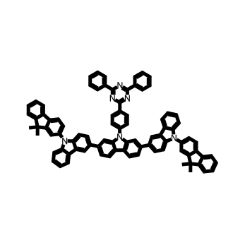 CC1(C)c2ccccc2-c2ccc(-n3c4ccccc4c4cc(-c5ccc6c7ccc(-c8ccc9c(c8)c8ccccc8n9-c8ccc9c(c8)C(C)(C)c8ccccc8-9)cc7n(-c7ccc(-c8nc(-c9ccccc9)nc(-c9ccccc9)n8)cc7)c6c5)ccc43)cc21